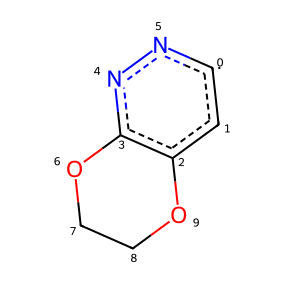 [c]1cc2c(nn1)OCCO2